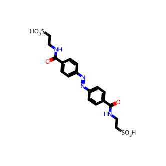 O=C(NCCS(=O)(=O)O)c1ccc(/N=N/c2ccc(C(=O)NCCS(=O)(=O)O)cc2)cc1